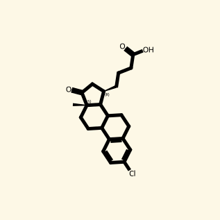 C[C@]12CCC3c4ccc(Cl)cc4CCC3C1[C@H](CCCC(=O)O)CC2=O